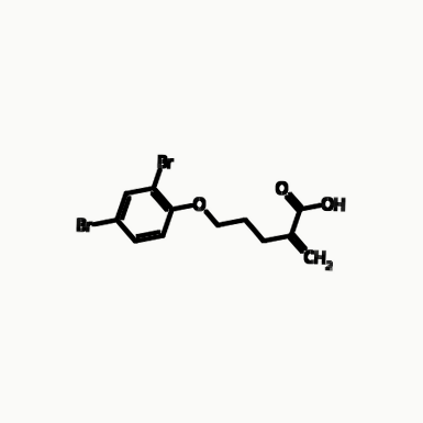 C=C(CCCOc1ccc(Br)cc1Br)C(=O)O